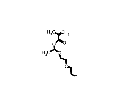 C=C(C)C(=O)OC(C)OCCOCCF